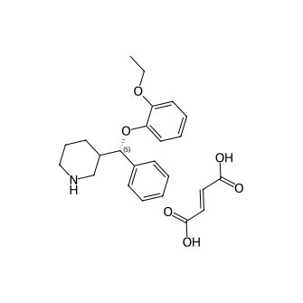 CCOc1ccccc1O[C@H](c1ccccc1)C1CCCNC1.O=C(O)C=CC(=O)O